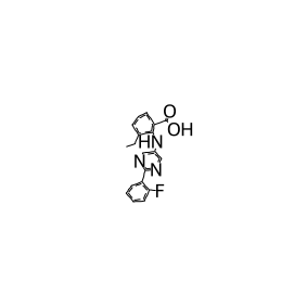 CCc1cccc(C(=O)O)c1Nc1cnc(-c2ccccc2F)nc1